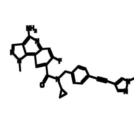 Cn1cc(C#Cc2ccc(CN(C(=O)c3cc4c(cc3F)nc(N)c3cnn(C)c34)C3CC3)cc2)cn1